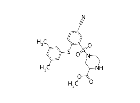 COC(=O)C1CN(S(=O)(=O)c2cc(C#N)ccc2Sc2cc(C)cc(C)c2)CCN1